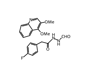 COc1cnc2ccccc2c1OC.O=CNNC(=O)Cc1ccc(F)cc1